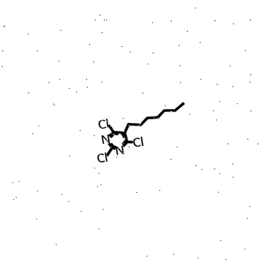 CCCCCCCc1c(Cl)nc(Cl)nc1Cl